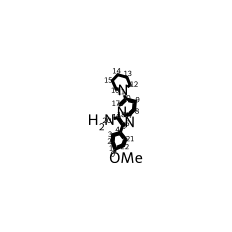 COc1ccc(-c2nc3ccc(N4CCCCC4)cn3c2N)cc1